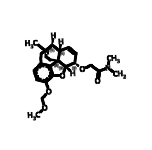 COCOc1ccc2c3c1O[C@H]1[C@@H](OCC(=O)N(C)C)C=C[C@H]4[C@@H](C2)N(C)CC[C@@]341